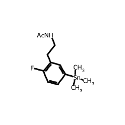 CC(=O)NCCc1c[c]([Sn]([CH3])([CH3])[CH3])ccc1F